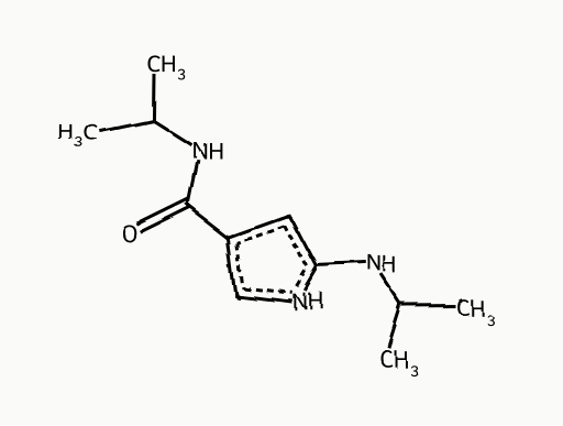 CC(C)NC(=O)c1c[nH]c(NC(C)C)c1